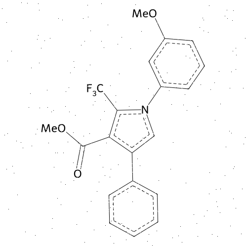 COC(=O)c1c(-c2ccccc2)cn(-c2cccc(OC)c2)c1C(F)(F)F